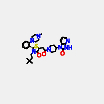 CN1CCN(c2ccccc2[C@@H]2SC(CC(=O)N3CCC(n4c(=O)[nH]c5ncccc54)CC3)C(=O)N2CCC(C)(C)C)CC1